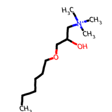 CCCCCCOCC(O)C[N+](C)(C)C